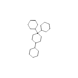 C1CCC(C2CCC(C3CCCCC3)(C3CCCCC3)CC2)CC1